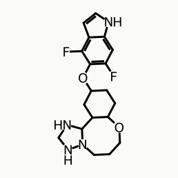 Fc1cc2[nH]ccc2c(F)c1OC1CCC2OCCCN3NCNC3C2C1